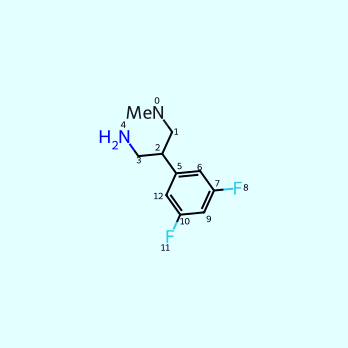 CNCC(CN)c1cc(F)cc(F)c1